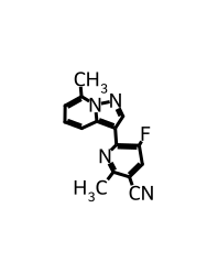 Cc1nc(-c2cnn3c(C)cccc23)c(F)cc1C#N